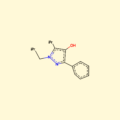 CC(C)Cn1nc(-c2ccccc2)c(O)c1C(C)C